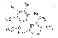 COc1c(C)c(Br)c(Br)c(Br)c1-c1c(O)ccc(C)c1C